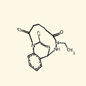 CCN1NC2N=C(Cl)N(C(=O)CCCC1=O)c1ccccc12